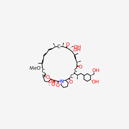 CO[C@H]1C[C@@H]2CC[C@@H](C)[C@@](O)(O2)C(=O)C(=O)N2CCCCC2C(=O)CC([C@H](C)CC2CC[C@@H](O)[C@H](CO)C2)CC(=O)[C@H](C)/C=C(\C)[C@@H](O)[C@@H](CO)C(=O)[C@H](C)C[C@H](C)/C=C/C=C/C=C/1C